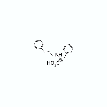 O=C(O)[C@H](Cc1ccccc1)NCCCc1ccccc1